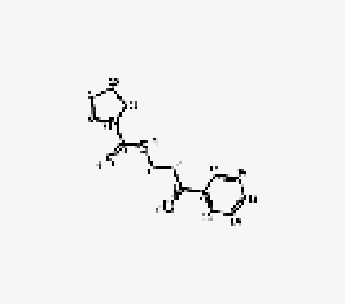 O=C(CCSC(=S)N1CCCC1)c1ccccc1